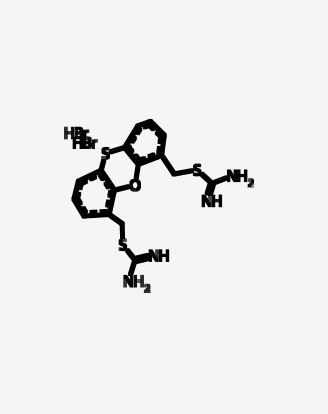 Br.Br.N=C(N)SCc1cccc2c1Oc1c(CSC(=N)N)cccc1S2